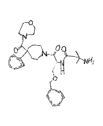 CC(C)(N)C(=O)N[C@H](COCc1ccccc1)C(=O)N1CCC(C(=O)N2CCOCC2)(c2ccccc2)CC1